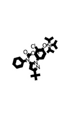 CC(C)[Si](Oc1ccc(-n2nc(C(C)(C)C)cc2N(C(=O)O)c2ccccc2)cc1Cl)(C(C)C)C(C)C